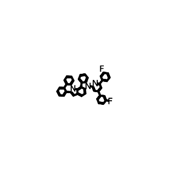 Fc1cccc(-c2cc(-c3cccc(F)c3)nc(-n3c4ccccc4c4c3ccc3cc5c6ccccc6c6ccccc6n5c34)c2)c1